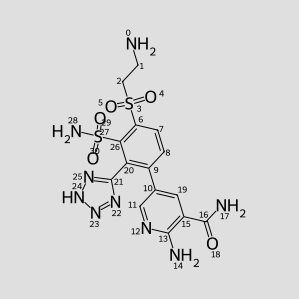 NCCS(=O)(=O)c1ccc(-c2cnc(N)c(C(N)=O)c2)c(-c2nn[nH]n2)c1S(N)(=O)=O